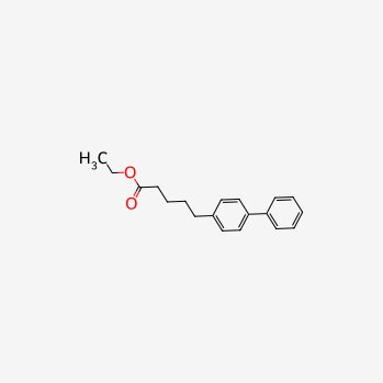 CCOC(=O)CCCCc1ccc(-c2ccccc2)cc1